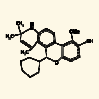 COc1c(O)ccc2c1-c1ccc3c(c1C(C1CCCCC1)O2)C(C)=CC(C)(C)N3